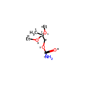 CCO[Si](C)(COC(N)=O)OCC